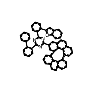 c1ccc(-c2ccccc2-c2nc(-c3cc4ccc5cccc6c7cccc8ccc9cccc(c(c3)c4c56)c9c87)nc(-c3ccccc3-c3cc4ccccc4o3)n2)cc1